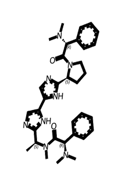 C[C@@H](c1ncc(-c2cnc([C@@H]3CCCN3C(=O)[C@@H](c3ccccc3)N(C)C)[nH]2)[nH]1)N(C)C(=O)[C@@H](c1ccccc1)N(C)C